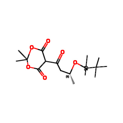 C[C@H](CC(=O)C1C(=O)OC(C)(C)OC1=O)O[Si](C)(C)C(C)(C)C